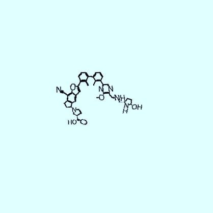 COc1nc(-c2cccc(-c3cccc(-c4cc5cc6c(c(C#N)c5o4)CC[C@H]6N4CC[C@@H](C(=O)O)C4)c3C)c2C)cnc1CNC[C@@H]1CCC(O)N1